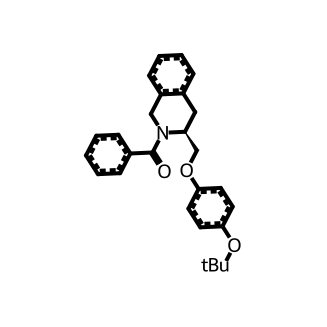 CC(C)(C)Oc1ccc(OC[C@@H]2Cc3ccccc3CN2C(=O)c2ccccc2)cc1